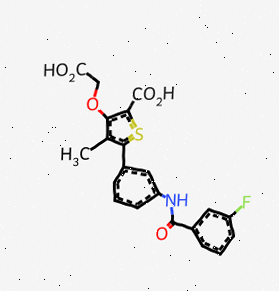 Cc1c(-c2cccc(NC(=O)c3cccc(F)c3)c2)sc(C(=O)O)c1OCC(=O)O